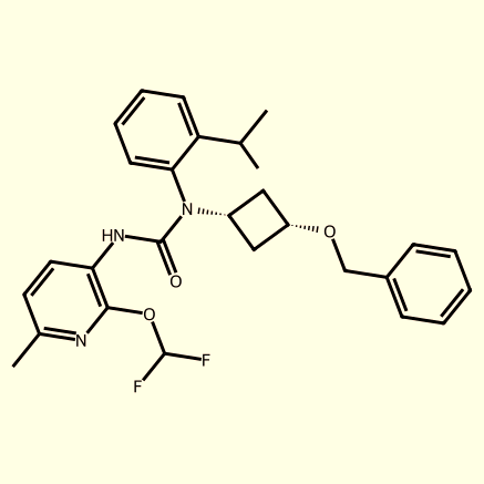 Cc1ccc(NC(=O)N(c2ccccc2C(C)C)[C@H]2C[C@@H](OCc3ccccc3)C2)c(OC(F)F)n1